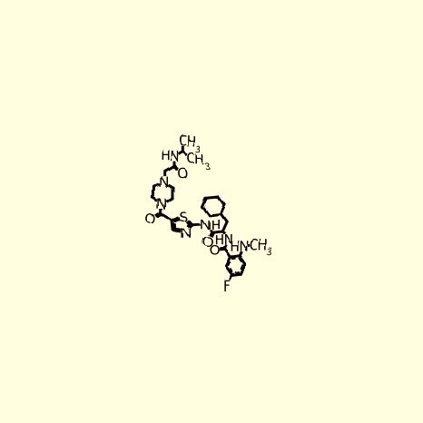 CNc1ccc(F)cc1C(=O)NC(CC1CCCCC1)C(=O)Nc1ncc(C(=O)N2CCN(CC(=O)NC(C)C)CC2)s1